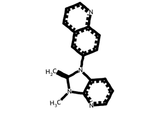 C=C1N(C)c2ncccc2N1c1ccc2ncccc2c1